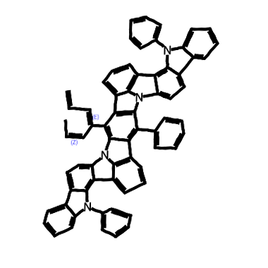 C=C/C=C(\C=C/C)c1c2c3cccc4c5c6c(ccc5n(c2c(-c2ccccc2)c2c5cccc7c8c9c(ccc8n(c12)c57)c1ccccc1n9-c1ccccc1)c34)c1ccccc1n6-c1ccccc1